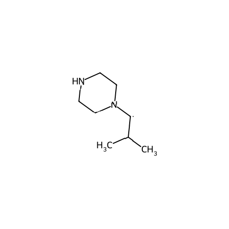 CC(C)[CH]N1CCNCC1